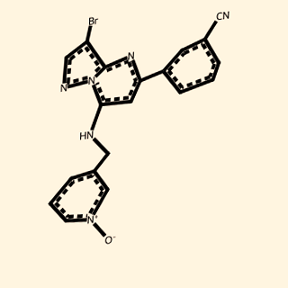 N#Cc1cccc(-c2cc(NCc3ccc[n+]([O-])c3)n3ncc(Br)c3n2)c1